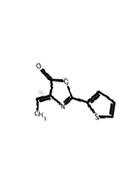 C/C=C1\N=C(c2cccs2)OC1=O